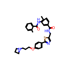 Cc1ccc(C(=O)NCc2cnc(-c3ccc(OCCCN4CCC4)cc3)s2)cc1NC(=O)c1ccccc1C